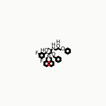 OC[C@@H](NC[C@@H](O)COc1ccccc1)[C@@H](OCc1ccccc1)[C@H](Cc1cc(F)cc(F)c1)N(Cc1ccccc1)Cc1ccccc1